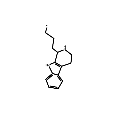 ClCCCC1NCCc2c1[nH]c1ccccc21